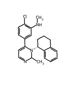 CNc1cc(C2=CC=NC(C)N2[C@@H]2CCCc3ccccc32)ccc1Cl